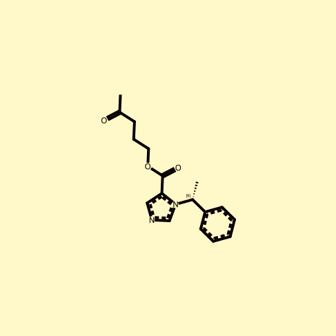 CC(=O)CCCOC(=O)c1cncn1[C@H](C)c1ccccc1